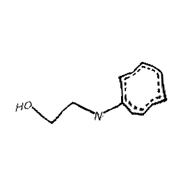 OCC[N]c1ccccc1